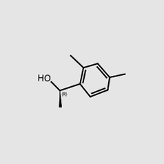 Cc1ccc([C@@H](C)O)c(C)c1